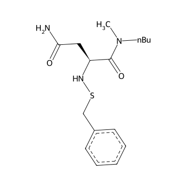 CCCCN(C)C(=O)[C@H](CC(N)=O)NSCc1ccccc1